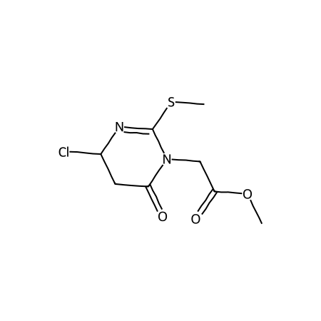 COC(=O)CN1C(=O)CC(Cl)N=C1SC